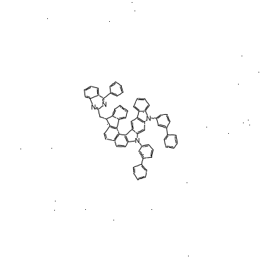 c1ccc(-c2cccc(-n3c4ccccc4c4cc5c6c7c8c(ccc7ccc6n(-c6cccc(-c7ccccc7)c6)c5cc43)C(Cc3nc(-c4ccccc4)c4ccccc4n3)c3ccccc3-8)c2)cc1